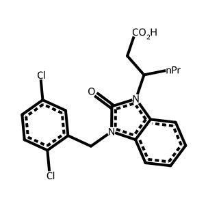 CCCC(CC(=O)O)n1c(=O)n(Cc2cc(Cl)ccc2Cl)c2ccccc21